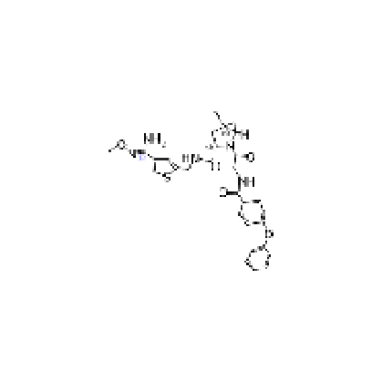 CO/N=C(\N)c1csc(CNC(=O)[C@@H]2C[C@]3(C)C[C@@H]3N2C(=O)CNC(=O)c2ccc(Oc3ccccc3)cc2)c1